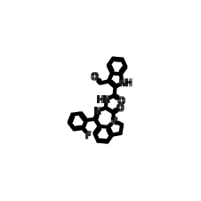 O=Cc1c(C(=O)NC2N=C(c3ccccc3F)c3cccc4c3N(CC4)C2=O)[nH]c2ccccc12